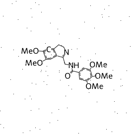 COc1cc2c(cc1OC)C(CNC(=O)c1cc(OC)c(OC)c(OC)c1)=NCC2